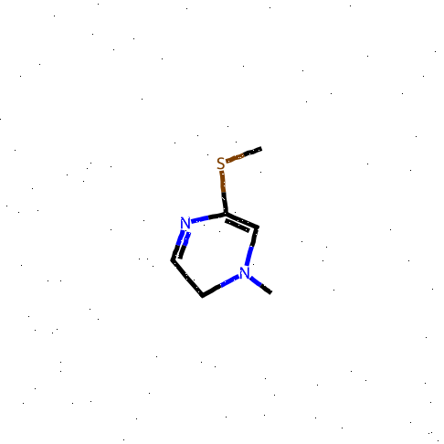 CSC1=CN(C)CC=N1